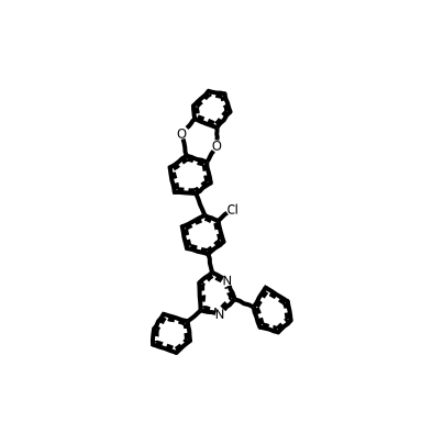 Clc1cc(-c2cc(-c3ccccc3)nc(-c3ccccc3)n2)ccc1-c1ccc2c(c1)Oc1ccccc1O2